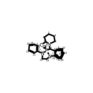 CC1CCCCN1C(c1ccccc1)P1(=O)N(c2ccccc2)CCN1c1ccccc1